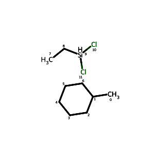 CC1CCCCC1.CC[SiH](Cl)Cl